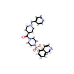 O=C(C1CCN(Cc2ccncc2)CC1)N1CCN(S(=O)(=O)c2cccc3cnccc23)CC1